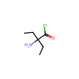 CCC(N)(CC)C(=O)Cl